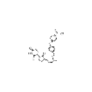 C=C(/C=C\C=C1/CCN(C2CCC(=O)NC2=O)C1=O)OCc1ccc(CN2CCN(C(=O)C3CC3)CC2)cc1